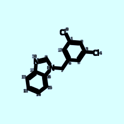 Clc1cc(Cl)cc(Cn2cnc3ccccc32)c1